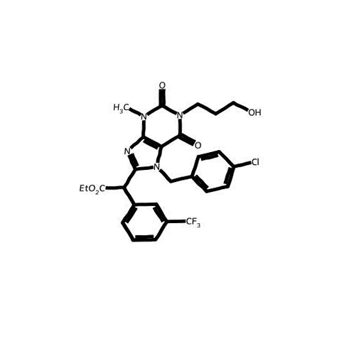 CCOC(=O)C(c1cccc(C(F)(F)F)c1)c1nc2c(c(=O)n(CCCO)c(=O)n2C)n1Cc1ccc(Cl)cc1